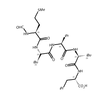 CC[C@H](C)[C@H](NC(=O)[C@H](CCSC)NC=O)C(=O)N[C@H](C(=O)N[C@H](C(=O)N[C@@H](CC(C)C)C(=O)O)[C@@H](C)CC)C(C)C